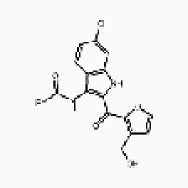 CC(C)C(=O)Nc1c(C(=O)c2occc2CO)[nH]c2cc(Cl)ccc12